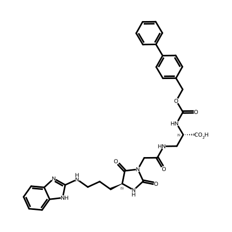 O=C(CN1C(=O)N[C@@H](CCCNc2nc3ccccc3[nH]2)C1=O)NC[C@H](NC(=O)OCc1ccc(-c2ccccc2)cc1)C(=O)O